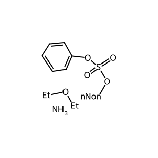 CCCCCCCCCOS(=O)(=O)Oc1ccccc1.CCOCC.N